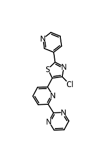 Clc1nc(-c2cccnc2)sc1-c1cccc(-c2ncccn2)n1